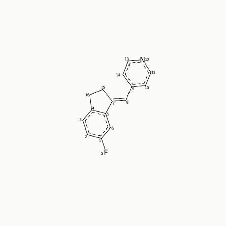 Fc1ccc2c(c1)C(=Cc1ccncc1)CC2